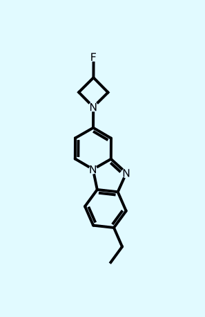 CCc1ccc2c(c1)nc1cc(N3CC(F)C3)ccn12